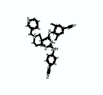 Cc1cc(C#N)cc(C)c1Oc1nc(Nc2ccc(C#N)cc2)nc2c1CN(Cc1cccnc1)CC2